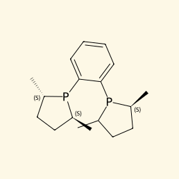 CC1CC[C@H](C)P1c1ccccc1P1[C@@H](C)CC[C@@H]1C